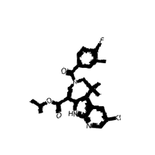 Cc1cc(C(=O)N2C=C(C(=O)OC(C)C)c3[nH]c4ncc(Cl)cc4c3C(C)(C)C2)ccc1F